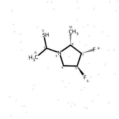 CC(S)N1C[C@H](F)[C@@H](F)[C@H]1C